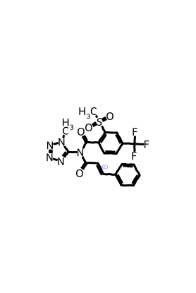 Cn1nnnc1N(C(=O)/C=C/c1ccccc1)C(=O)c1ccc(C(F)(F)F)cc1S(C)(=O)=O